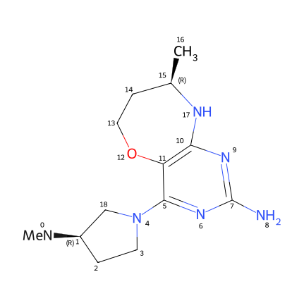 CN[C@@H]1CCN(c2nc(N)nc3c2OCC[C@@H](C)N3)C1